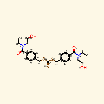 CCN(CCO)C(=O)c1ccc(CSC(=S)SCc2ccc(C(=O)N(CC)CCO)cc2)cc1